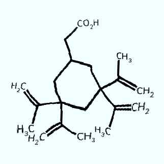 C=C(C)C1(C(=C)C)CC(CC(=O)O)CC(C(=C)C)(C(=C)C)C1